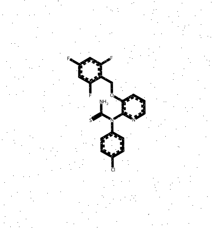 NC(=S)N(c1ccc(Cl)cc1)c1ncccc1OCc1c(F)cc(F)cc1F